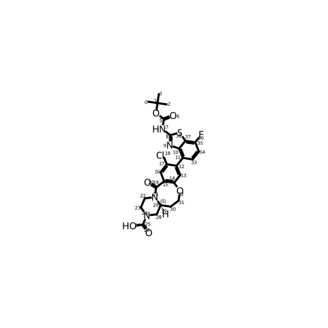 CC(C)(C)OC(=O)Nc1nc2c(-c3cc4c(cc3Cl)C(=O)N3CCN(C(=O)O)C[C@@H]3CCO4)ccc(F)c2s1